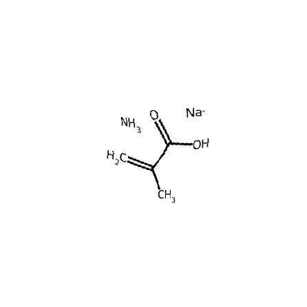 C=C(C)C(=O)O.N.[Na]